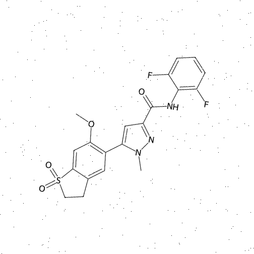 COc1cc2c(cc1-c1cc(C(=O)Nc3c(F)cccc3F)nn1C)CCS2(=O)=O